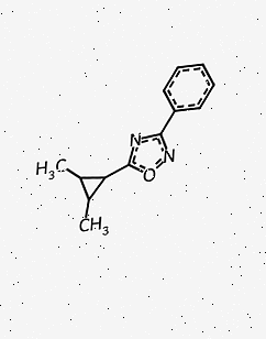 CC1C(C)C1c1nc(-c2ccccc2)no1